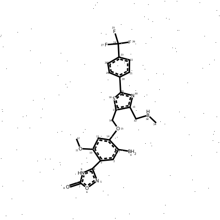 Bc1cc(-c2noc(=O)[nH]2)c(OC)cc1OCc1sc(-c2ccc(C(F)(F)F)cc2)nc1CBC